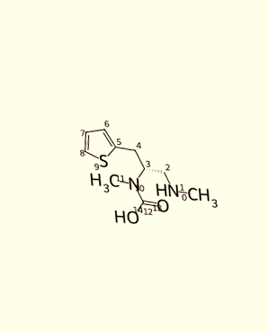 CNC[C@@H](Cc1cccs1)N(C)C(=O)O